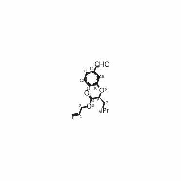 C=CCOC(=O)[C@H](CC(C)C)Oc1cccc(C=O)c1